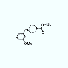 COc1cccc(CN2CCN(C(=O)OC(C)(C)C)CC2)n1